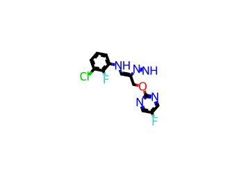 N=N/C(=C\Nc1cccc(Cl)c1F)COc1ncc(F)cn1